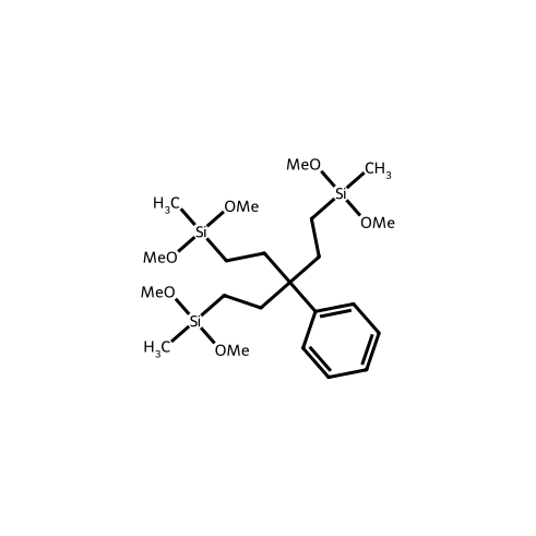 CO[Si](C)(CCC(CC[Si](C)(OC)OC)(CC[Si](C)(OC)OC)c1ccccc1)OC